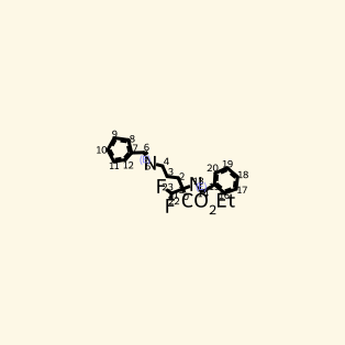 CCOC(=O)C(CCC/N=C/c1ccccc1)(/N=C/c1ccccc1)C(F)F